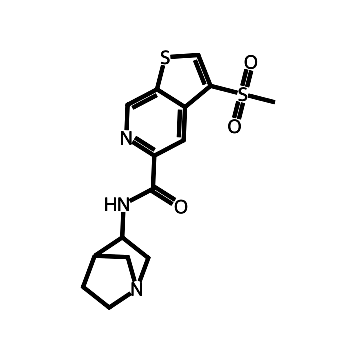 CS(=O)(=O)c1csc2cnc(C(=O)NC3CN4CCC3C4)cc12